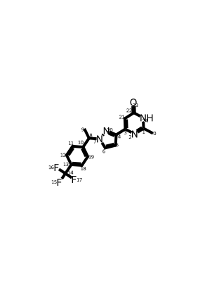 Cc1nc(-c2ccn(C(C)c3ccc(C(F)(F)F)cc3)n2)cc(=O)[nH]1